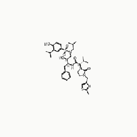 Cc1nc(CN2CCN([C@H](C(=O)N[C@@H](Cc3ccccc3)[C@@H](O)CN(CC(C)C)S(=O)(=O)c3ccc(O)c(C(C)C)c3)C(C)C)C2=O)cs1